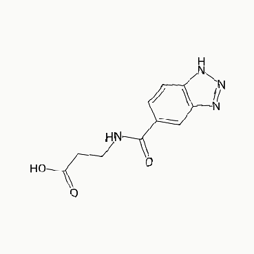 O=C(O)CCNC(=O)c1ccc2[nH]nnc2c1